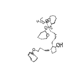 COC(=O)C(CC=C=CC[C@H]1[C@@H](O)CC[C@@H]1/C=C/CCOc1ccccc1)(OC1CCCCO1)OC1CCCCO1